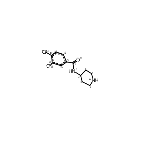 O=C(NC1CCNCC1)c1ccc(Cl)c(Cl)c1